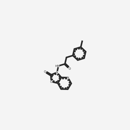 Cc1cccc(CC(=O)Nn2c(=O)oc3cccnc32)c1